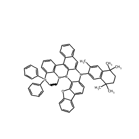 Cc1cc2c(cc1N1c3cc4ccccc4c4c3B(c3c1ccc1c3oc3ccccc31)N1c3ccccc3[Si](c3ccccc3)(c3ccccc3)c3cccc-4c31)C(C)(C)CCC2(C)C